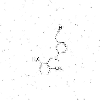 Cc1cccc(C)c1COc1cccc(CC#N)c1